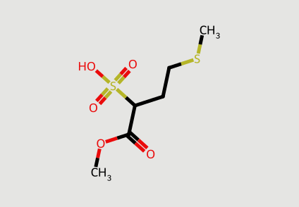 COC(=O)C(CCSC)S(=O)(=O)O